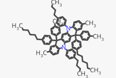 CCCCCCc1ccc(C2(c3ccc(C)cc3)c3cc(C)ccc3N(c3ccc(CCCC)cc3)c3cc4c(cc32)N(c2ccc(CCCC)cc2)c2ccc(C)cc2C4(c2ccc(C)cc2)c2ccc(CCCCCC)cc2)cc1